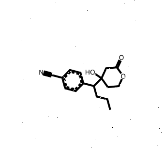 CCCC(c1ccc(C#N)cc1)C1(O)CCOC(=O)C1